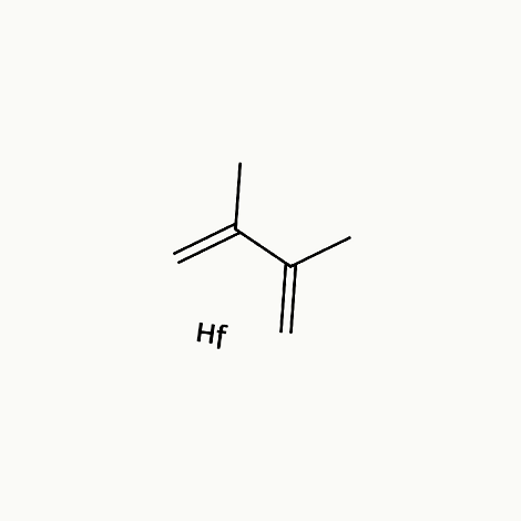 C=C(C)C(=C)C.[Hf]